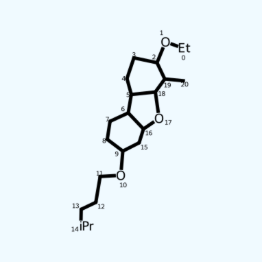 CCOC1CCC2C3CCC(OCCCC(C)C)CC3OC2C1C